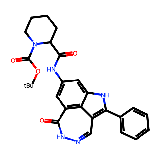 CC(C)(C)OC(=O)N1CCCCC1C(=O)Nc1cc2c3c(c(-c4ccccc4)[nH]c3c1)C=NNC2=O